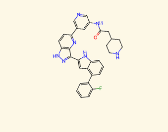 O=C(CC1CCNCC1)Nc1cncc(-c2ccc3[nH]nc(-c4cc5c(-c6ccccc6F)cccc5[nH]4)c3n2)c1